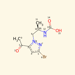 CC(=O)c1cc(Br)nn1C[C@@H](C)NC(=O)O